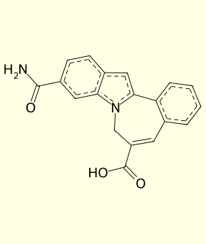 NC(=O)c1ccc2cc3n(c2c1)CC(C(=O)O)=Cc1ccccc1-3